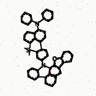 C[Si]1(C)c2cc(N(c3ccccc3-c3ccccc3)c3cccc4c3oc3ccccc34)ccc2-c2ccc(N(c3ccccc3)c3ccccc3)c3cccc1c23